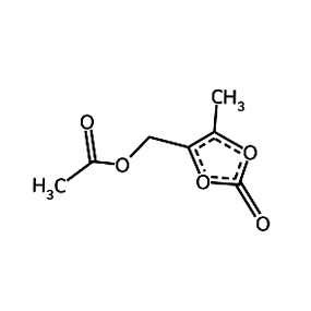 CC(=O)OCc1oc(=O)oc1C